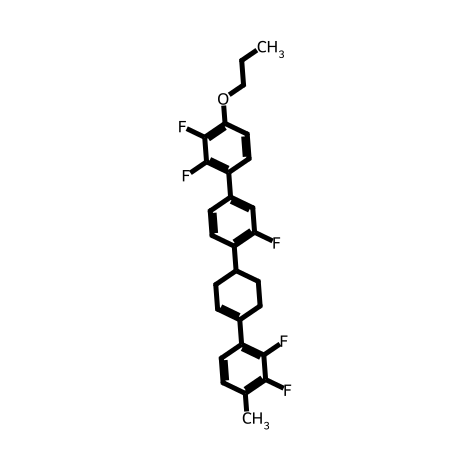 CCCOc1ccc(-c2ccc(C3CC=C(c4ccc(C)c(F)c4F)CC3)c(F)c2)c(F)c1F